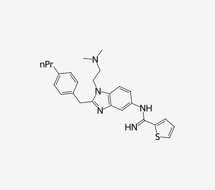 CCCc1ccc(Cc2nc3cc(NC(=N)c4cccs4)ccc3n2CCN(C)C)cc1